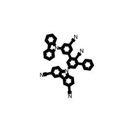 N#Cc1cc(-c2cc(-n3c4ccc(C#N)cc4c4cc(C#N)ccc43)cc(-c3ccccc3)c2C#N)cc(-n2c3ccccc3c3ccccc32)c1